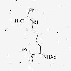 CC(=O)NC(CCCCNC(C)C(C)C)C(=O)C(C)C